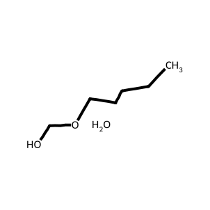 CCCCCOCO.O